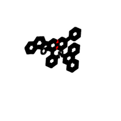 c1ccc(-c2cccc(N(c3ccccc3-c3cccc4c3oc3c5ccccc5ccc43)c3cc4ccccc4c4ccccc34)c2)cc1